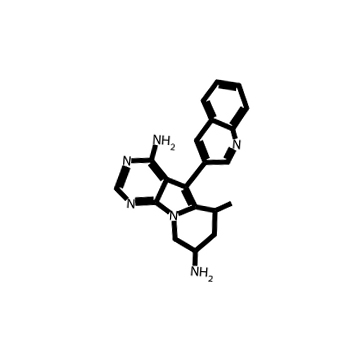 CC1CC(N)Cn2c1c(-c1cnc3ccccc3c1)c1c(N)ncnc12